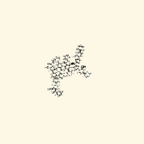 O=C(CCl)c1ccc(N2CCOCC2)cc1O.O=C(CN1CCOCC1)c1ccc(N2CCOCC2)cc1O.O=C(Cn1ccnc1)c1ccc(N2CCOCC2)cc1O.O=C(c1cccc(Cl)c1)c1ccc(N2CCOCC2)cc1O.O=C(c1nc(-c2ccc(N3CCOCC3)cc2O)cs1)c1nc(-c2ccc(N3CCOCC3)cc2O)cs1